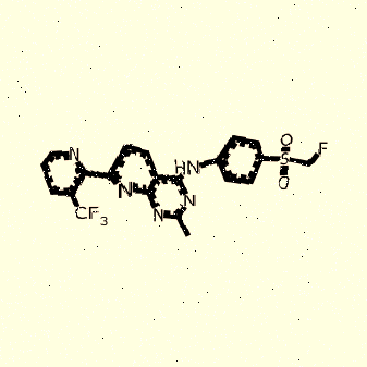 Cc1nc(Nc2ccc(S(=O)(=O)CF)cc2)c2ccc(-c3ncccc3C(F)(F)F)nc2n1